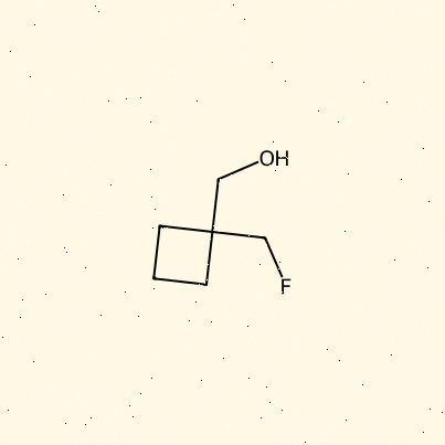 OCC1(CF)CCC1